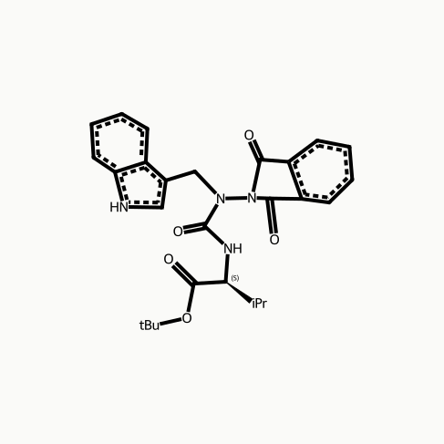 CC(C)[C@H](NC(=O)N(Cc1c[nH]c2ccccc12)N1C(=O)c2ccccc2C1=O)C(=O)OC(C)(C)C